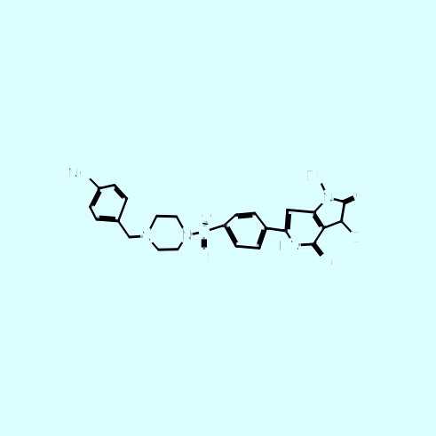 CCC1C(=O)N(CC)c2cc(-c3ccc(S(=O)(=O)N4CCN(Cc5ccc(C#N)cc5)CC4)cc3)[nH]c(=O)c21